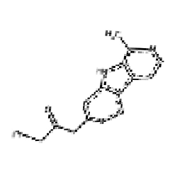 Cc1nccc2c1[nH]c1cc(CC(=O)CC(C)C)ccc12